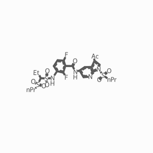 CCCS(=O)(=O)C(CC)S(=O)(=O)Nc1ccc(F)c(C(=O)Nc2cnc3c(c2)c(C(C)=O)cn3S(=O)(=O)CCC)c1F